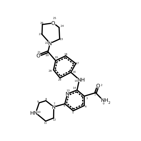 NC(=O)c1ccc(N2CCNCC2)nc1Nc1ccc(C(=O)N2CCOCC2)cc1